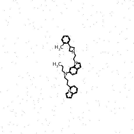 CCCN(CCCc1cccc2cccn12)c1ccc2ccn(CCN3CC(c4ccccc4C)C3)c2c1